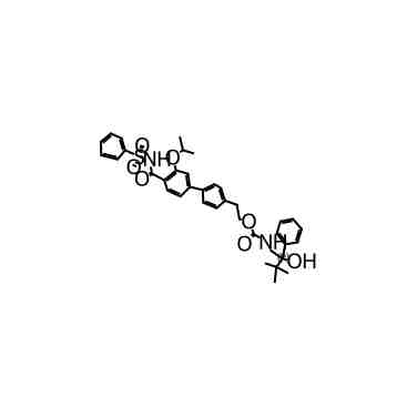 CC(C)Oc1cc(-c2ccc(CCOC(=O)NC[C@](O)(c3ccccc3)C(C)(C)C)cc2)ccc1C(=O)NS(=O)(=O)c1ccccc1